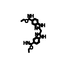 CCOC(=N)c1ccc2[nH]c(Cc3nc4cc(C(=N)OCC)ccc4[nH]3)nc2c1